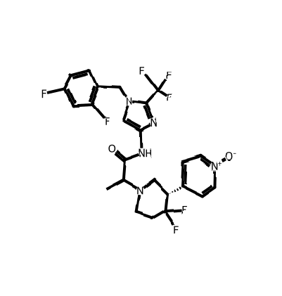 CC(C(=O)Nc1cn(Cc2ccc(F)cc2F)c(C(F)(F)F)n1)N1CCC(F)(F)[C@@H](c2cc[n+]([O-])cc2)C1